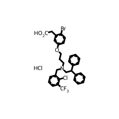 Cl.O=C(O)Cc1cc(OCCCN(Cc2cccc(C(F)(F)F)c2Cl)CC(c2ccccc2)c2ccccc2)ccc1Br